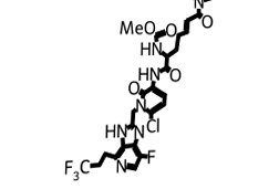 COC(=O)NC(CC/C=C/C(=O)N(C)C)C(=O)Nc1ccc(Cl)n(Cc2nc3c(F)cnc(CCC(F)(F)F)c3[nH]2)c1=O